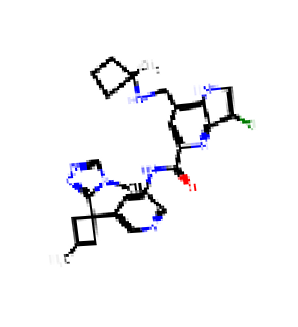 CC1CC(c2cncc(NC(=O)c3cc(CNC4(C)CCC4)c4[nH]cc(Cl)c4n3)c2)(c2nncn2C)C1